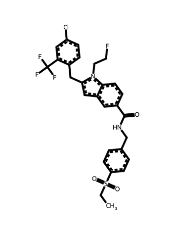 CCS(=O)(=O)c1ccc(CNC(=O)c2ccc3c(c2)cc(Cc2ccc(Cl)cc2C(F)(F)F)n3CCF)cc1